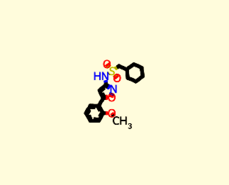 COc1ccccc1-c1cc(NS(=O)(=O)CC2CCCCC2)no1